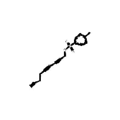 C#CCCC#CC#CCOS(=O)(=O)c1ccc(C)cc1